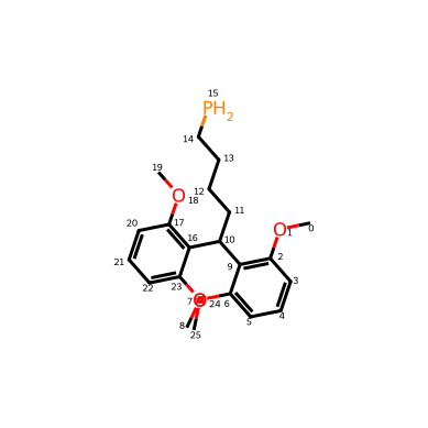 COc1cccc(OC)c1C(CCCCP)c1c(OC)cccc1OC